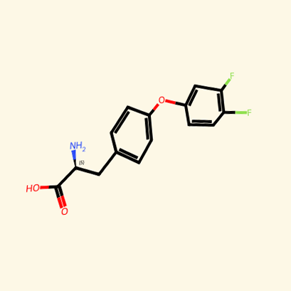 N[C@@H](Cc1ccc(Oc2ccc(F)c(F)c2)cc1)C(=O)O